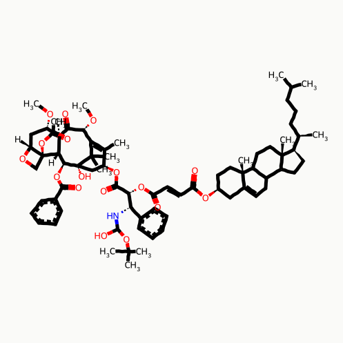 CO[C@H]1C(=O)[C@]2(C)[C@@H](OC)C[C@H]3OC[C@@]3(OC(C)=O)[C@H]2[C@H](OC(=O)c2ccccc2)[C@]2(O)C[C@H](OC(=O)[C@H](OC(=O)/C=C/C(=O)O[C@H]3CC[C@@]4(C)C(=CCC5C4CC[C@@]4(C)C5CC[C@@H]4[C@H](C)CCCC(C)C)C3)[C@@H](NC(O)OC(C)(C)C)c3ccccc3)C(C)=C1C2(C)C